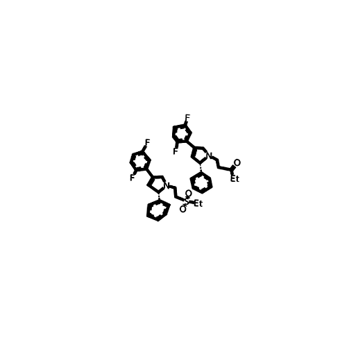 CCC(=O)CCN1CC(c2cc(F)ccc2F)=C[C@H]1c1ccccc1.CCS(=O)(=O)CCN1CC(c2cc(F)ccc2F)=C[C@H]1c1ccccc1